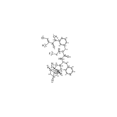 CCC=C(C)C(=O)N(C)c1cccc(CC(NCC(F)(F)F)C(=O)N[C@@H](Cc2ccccc2)B2O[C@@H]3C[C@@H]4C[C@@H](C4(C)C)[C@]3(C)O2)c1